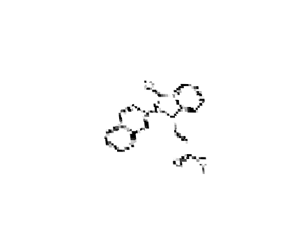 COC(=O)/C=C/C1c2ccccc2C(=O)N1c1ccc2ccccc2c1